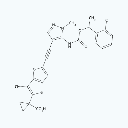 CC(OC(=O)Nc1c(C#Cc2cc3sc(C4(C(=O)O)CC4)c(Cl)c3s2)cnn1C)c1ccccc1Cl